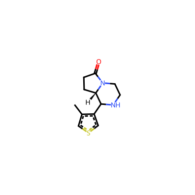 Cc1cscc1C1NCCN2C(=O)CC[C@@H]12